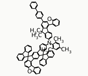 Cc1cc(C)c(N(c2ccc3c(c2)C(C)(C)c2cc(-c4ccc(-c5ccccc5)cc4)c4oc5ccccc5c4c2-3)c2ccc3c(c2)C2(c4ccccc4-c4ccccc42)c2cc4c(cc2-3)C2(c3ccccc3-c3ccccc32)c2ccc3oc5ccccc5c3c2-4)c(C)c1